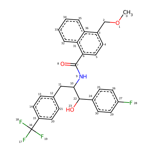 COCc1ccc(C(=O)NC(Cc2ccc(C(F)(F)F)cc2)C(O)c2ccc(F)cc2)c2ccccc12